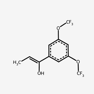 CC=C(O)c1cc(OC(F)(F)F)cc(OC(F)(F)F)c1